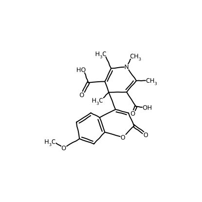 COc1ccc2c(C3(C)C(C(=O)O)=C(C)N(C)C(C)=C3C(=O)O)cc(=O)oc2c1